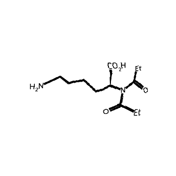 CCC(=O)N(C(=O)CC)[C@@H](CCCCN)C(=O)O